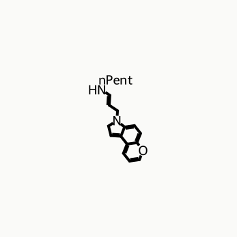 CCCCCNC=CCN1CC=c2c1ccc1c2=CC=CO1